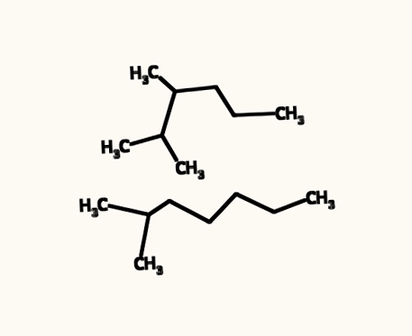 CCCC(C)C(C)C.CCCCCC(C)C